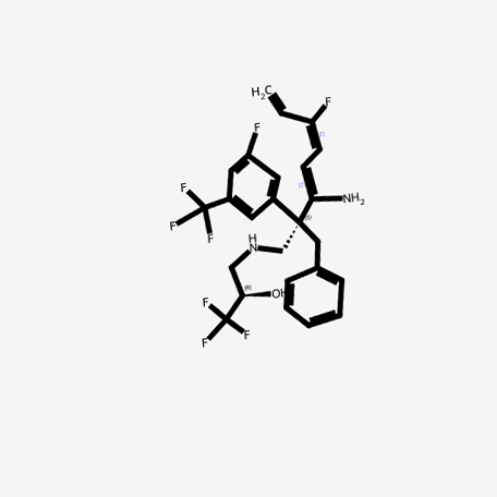 C=C/C(F)=C\C=C(/N)[C@@](CNC[C@@H](O)C(F)(F)F)(Cc1ccccc1)c1cc(F)cc(C(F)(F)F)c1